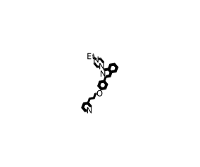 CCN1CCN(c2nc(-c3ccc(OCCCc4cccnc4)cc3)cc3ccccc23)CC1